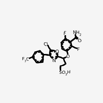 NC(=O)c1c(F)ccc(OC(CCS(=O)(=O)O)c2nc(-c3ccc(C(F)(F)F)cc3)c(Cl)o2)c1F